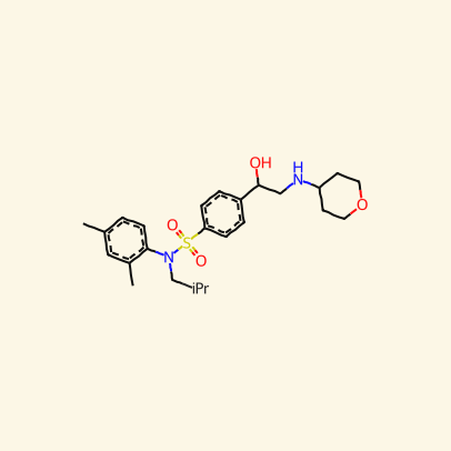 Cc1ccc(N(CC(C)C)S(=O)(=O)c2ccc(C(O)CNC3CCOCC3)cc2)c(C)c1